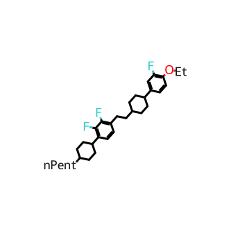 CCCCCC1CCC(c2ccc(CCC3CCC(c4ccc(OCC)c(F)c4)CC3)c(F)c2F)CC1